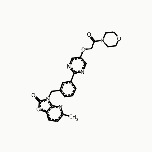 Cc1ccc2oc(=O)n(Cc3cccc(-c4ncc(OCC(=O)N5CCOCC5)cn4)c3)c2n1